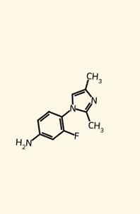 Cc1cn(-c2ccc(N)cc2F)c(C)n1